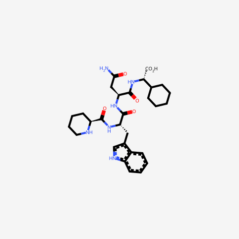 NC(=O)C[C@H](NC(=O)[C@H](Cc1c[nH]c2ccccc12)NC(=O)[C@@H]1CCCCN1)C(=O)N[C@H](C(=O)O)C1CCCCC1